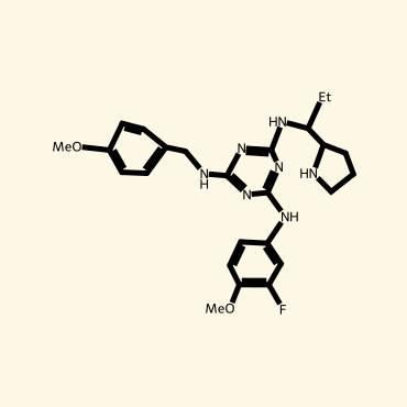 CCC(Nc1nc(NCc2ccc(OC)cc2)nc(Nc2ccc(OC)c(F)c2)n1)C1CCCN1